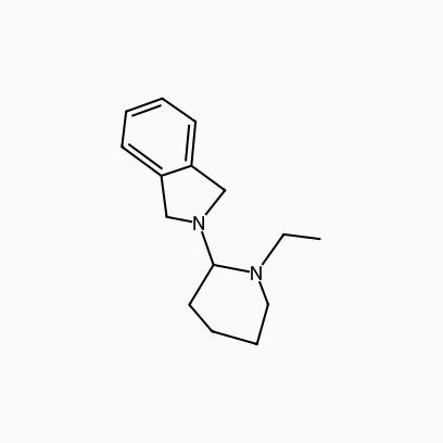 CCN1CCCCC1N1Cc2ccccc2C1